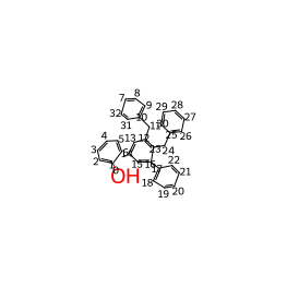 Oc1ccccc1.c1ccc(Cc2cccc(-c3ccccc3)c2Cc2ccccc2)cc1